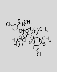 CN(C)CCC1(OC(=O)C(=O)OC2(CCN(C)C)CN(C)C(=S)c3cc(Cl)ccc3O2)CN(C)C(=S)c2cc(Cl)ccc2O1.O